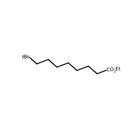 CCOC(=O)CCCCCCCC(C)(C)C